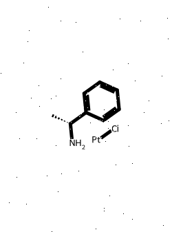 C[C@@H](N)c1ccccc1.[Cl][Pt]